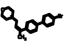 CC(=CCN1CCOCC1)c1ccc(-c2ccc(Br)cc2)cc1